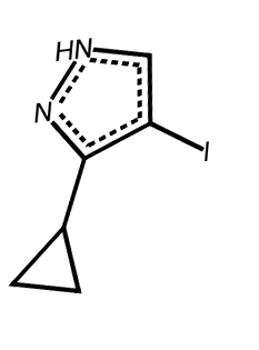 Ic1c[nH]nc1C1CC1